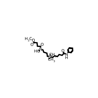 COC(=O)CCC(=O)N(O)CCCC[N+](C)(C)CCCCCC(=O)Nc1ccccc1